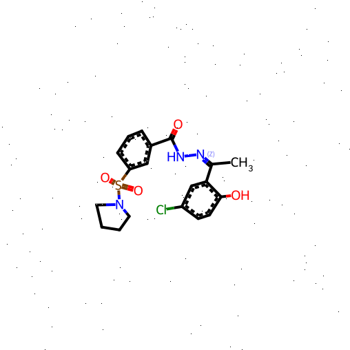 C/C(=N/NC(=O)c1cccc(S(=O)(=O)N2CCCC2)c1)c1cc(Cl)ccc1O